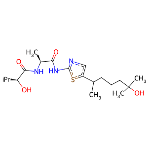 CC(CCCC(C)(C)O)c1cnc(NC(=O)[C@H](C)NC(=O)[C@@H](O)C(C)C)s1